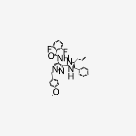 C=CCc1nc(-c2nn(Cc3ccc(OC)cc3)cc2NC(=O)c2c(F)cccc2F)[nH]c1-c1ccccc1